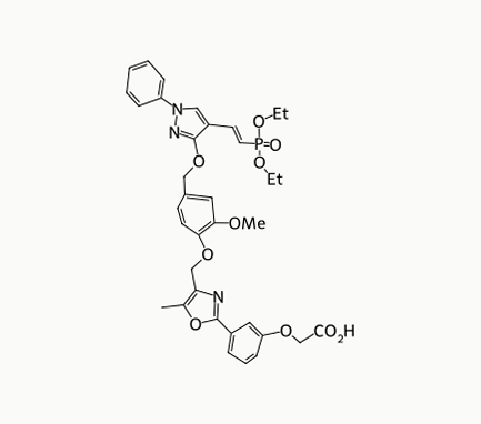 CCOP(=O)(C=Cc1cn(-c2ccccc2)nc1OCc1ccc(OCc2nc(-c3cccc(OCC(=O)O)c3)oc2C)c(OC)c1)OCC